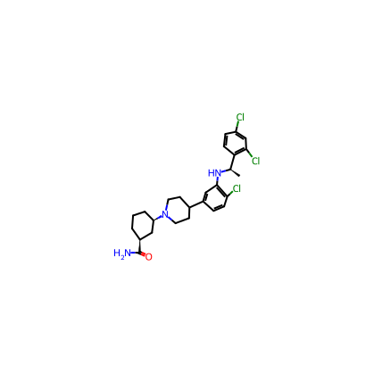 C[C@@H](Nc1cc(C2CCN([C@@H]3CCC[C@H](C(N)=O)C3)CC2)ccc1Cl)c1ccc(Cl)cc1Cl